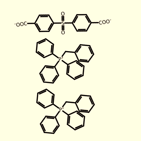 O=C([O-])c1ccc(S(=O)(=O)c2ccc(C(=O)[O-])cc2)cc1.c1ccc(C[P+](c2ccccc2)(c2ccccc2)c2ccccc2)cc1.c1ccc(C[P+](c2ccccc2)(c2ccccc2)c2ccccc2)cc1